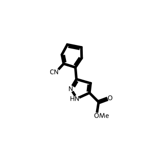 [C-]#[N+]c1ccccc1-c1cc(C(=O)OC)[nH]n1